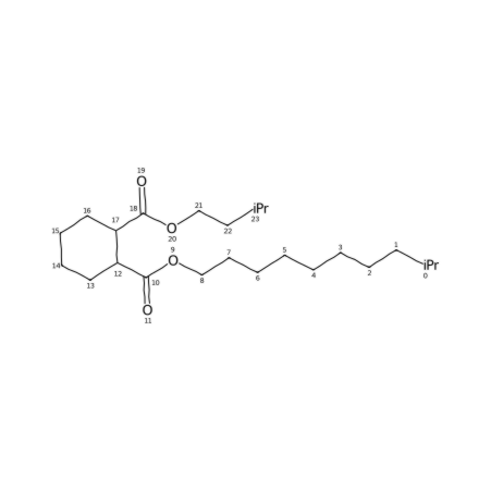 CC(C)CCCCCCCCOC(=O)C1CCCCC1C(=O)OCCC(C)C